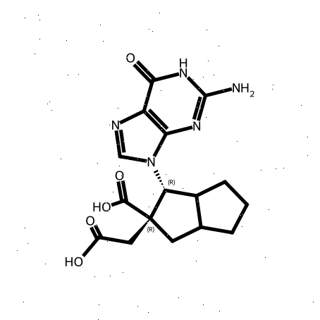 Nc1nc2c(ncn2[C@@H]2C3CCCC3C[C@]2(CC(=O)O)C(=O)O)c(=O)[nH]1